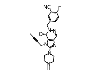 CC#CCn1c(N2CCNCC2)nc2cnn(Cc3ccc(F)c(C#N)c3)c(=O)c21